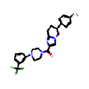 Cc1ccc(C2CCc3nc(C(=O)N4CCN(c5cccc(C(F)(F)F)c5)CC4)cn3C2)cc1